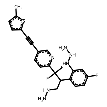 Cc1ccc(C#Cc2ccc(C(F)(F)C(CNN)c3ccc(F)cc3NNN)nc2)s1